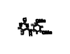 COc1cc(Nc2nc(Cl)ncc2C)cc(OC)c1